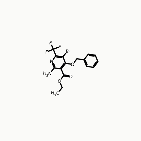 CCOC(=O)c1c(N)nc(C(F)(F)F)c(Br)c1OCc1ccccc1